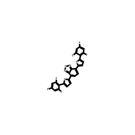 Fc1cc(F)c(-c2ccc(-c3ccc(-c4ccc(-c5c(F)cc(F)cc5F)s4)c4nsnc34)s2)c(F)c1